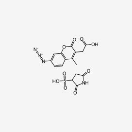 Cc1c(CC(=O)O)c(=O)oc2cc(N=[N+]=[N-])ccc12.O=C1CC(S(=O)(=O)O)C(=O)N1